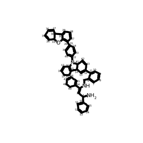 NC(/C=C(\NCc1ccccc1C1=CC2C3=C(C=CCC3)N(c3ccc(-c4cccc5c4OC4C=CC=CC54)cc3)C2C=C1)C1=CC=CCC1)c1ccccc1